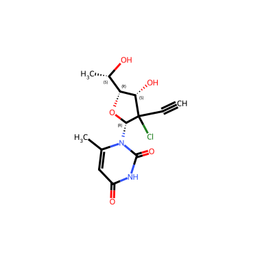 C#CC1(Cl)[C@@H](O)[C@@H]([C@H](C)O)O[C@H]1n1c(C)cc(=O)[nH]c1=O